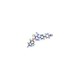 C=N/C(Oc1cc(F)c2[nH]c(C)cc2c1F)=C(Cl)\C(=N/C)Nc1ccc(N2CCN(CC)CC2)cn1